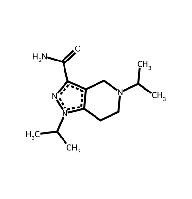 CC(C)N1CCc2c(c(C(N)=O)nn2C(C)C)C1